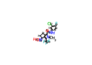 Cn1c(C(=O)Nc2ccc(F)c(Cl)c2)c2c(c1C(F)(F)F)/C(=N/O)CC2